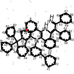 N=C(/C(=C1\NC(c2ccccc2)=C(N(c2cccc(-c3ccccc3)c2)c2cccc3c2-c2ccccc2C3(c2ccccc2)c2ccccc2)c2ccccc21)c1ccccc1)c1ccccc1